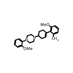 COc1ccccc1N1CCN(C2CC=C(c3c(C)cccc3OC)CC2)CC1